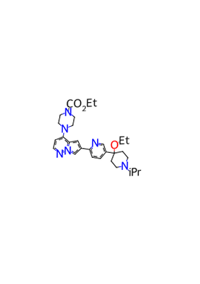 CCOC(=O)N1CCN(c2ccnn3cc(-c4ccc(C5(OCC)CCN(C(C)C)CC5)cn4)cc23)CC1